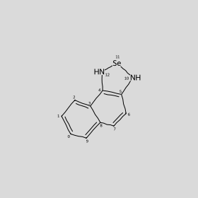 c1ccc2c3c(ccc2c1)N[Se]N3